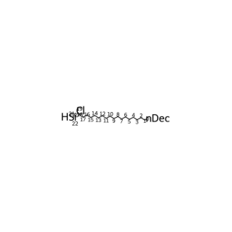 CCCCCCCCCCCCCCCCCCCCCCCCCCCC(Cl)[SiH](C)C